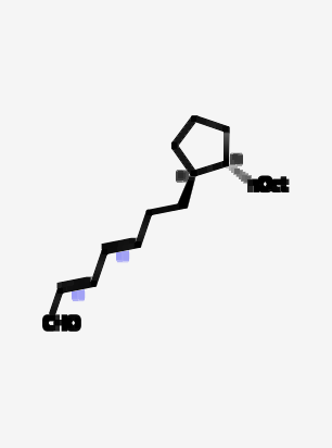 CCCCCCCC[C@H]1CCC[C@@H]1CC/C=C/C=C/C=O